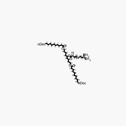 CCCCCCCCCCCCCCCCCCCC(=O)OCCCCC(CCCCOC(=O)CCCCCCCCCCCCCCCCCCC)OC(=O)NCCNCCN(C)C